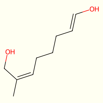 CC(=CCCCC=CO)CO